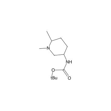 CC1CCC(NC(=O)OC(C)(C)C)CN1C